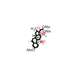 COC1=CC2=C(F)C[C@H]3[C@@H]4CC(C)[C@](O)(C(=O)C(OC)OC)[C@@]4(C)C[C@H](O)[C@]3(F)[C@@]2(C)C=C1